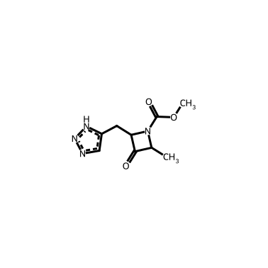 COC(=O)N1C(C)C(=O)C1Cc1cnn[nH]1